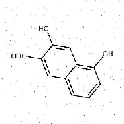 O=Cc1cc2cccc(O)c2cc1O